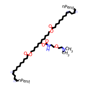 CCCCC/C=C\C/C=C\CCCCCCCC(=O)OCCCCCC(CCCCCOC(=O)CCCCCCC/C=C\C/C=C\CCCCC)OC(=O)NCCOCCN(C)C